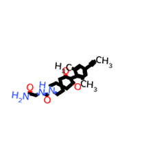 CC#Cc1cc(C)c(C2C(=O)CC3(CCN(C(=O)NCC(N)=O)CC3)CC2=O)c(C)c1